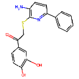 Nc1ccc(-c2ccccc2)nc1SCC(=O)c1ccc(O)c(O)c1